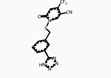 N#Cc1cn(SCc2cccc(-c3nnn[nH]3)c2)c(=O)cc1C(F)(F)F